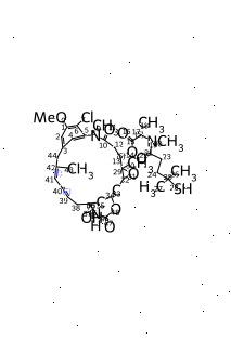 COc1cc2cc(c1Cl)N(C)C(=O)C[C@H](OC(=O)[C@H](C)N(C)C(=O)CCC(C)(C)S)C1(C)OC1CC1C[C@](O)(C/C=C/C=C(\C)C2)NC(=O)O1